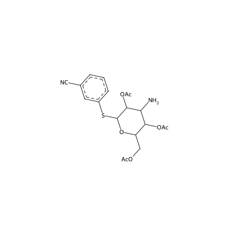 CC(=O)OCC1OC(Sc2cccc(C#N)c2)C(OC(C)=O)C(N)C1OC(C)=O